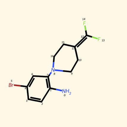 Nc1ccc(Br)cc1N1CCC(=C(F)F)CC1